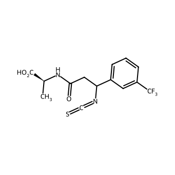 C[C@H](NC(=O)CC(N=C=S)c1cccc(C(F)(F)F)c1)C(=O)O